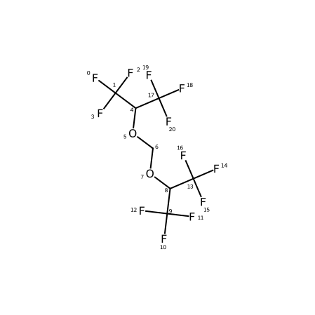 FC(F)(F)C(OCOC(C(F)(F)F)C(F)(F)F)C(F)(F)F